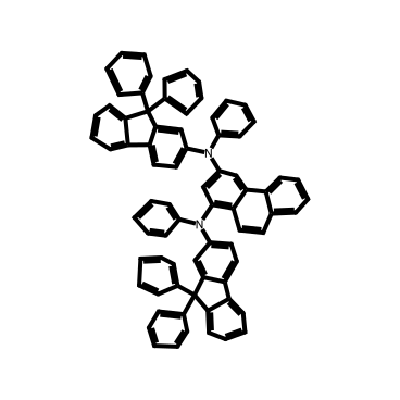 c1ccc(N(c2ccc3c(c2)C(c2ccccc2)(c2ccccc2)c2ccccc2-3)c2cc(N(c3ccccc3)c3ccc4c(c3)C(c3ccccc3)(c3ccccc3)c3ccccc3-4)c3ccc4ccccc4c3c2)cc1